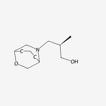 C[C@@H](CO)CN1CC2CCCC1CO2